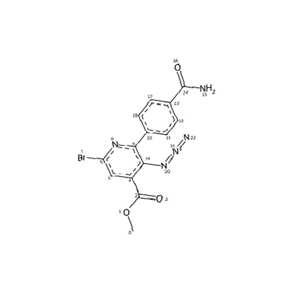 COC(=O)c1cc(Br)nc(-c2ccc(C(N)=O)cc2)c1N=[N+]=[N-]